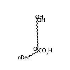 CCCCCCCCCCCCCCCCC(C(=O)O)C(=O)CCCCCCCCCCCCCCCCC(O)CO